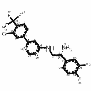 N[C@@H](CNc1cc(-c2ccc(C(F)(F)F)c(Cl)c2)ncn1)c1ccc(F)c(F)c1